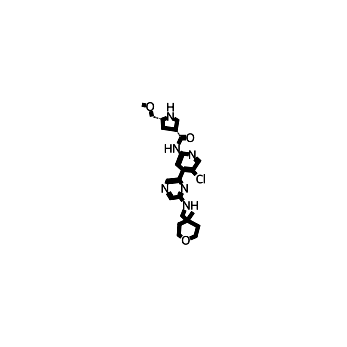 COC[C@H]1C[C@@H](C(=O)Nc2cc(-c3cncc(NCC4(C)CCOCC4)n3)c(Cl)cn2)CN1